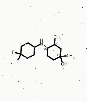 C[C@H]1C[C@](C)(O)CC[C@@H]1NC1CCC(F)(F)CC1